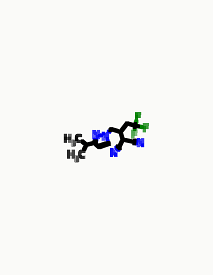 CC(C)c1ccn(CC(CC(F)(F)F)C(C#N)C#N)n1